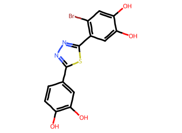 Oc1ccc(-c2nnc(-c3cc(O)c(O)cc3Br)s2)cc1O